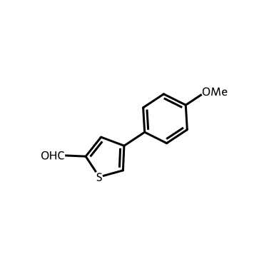 COc1ccc(-c2csc(C=O)c2)cc1